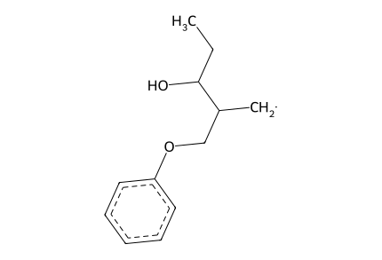 [CH2]C(COc1ccccc1)C(O)CC